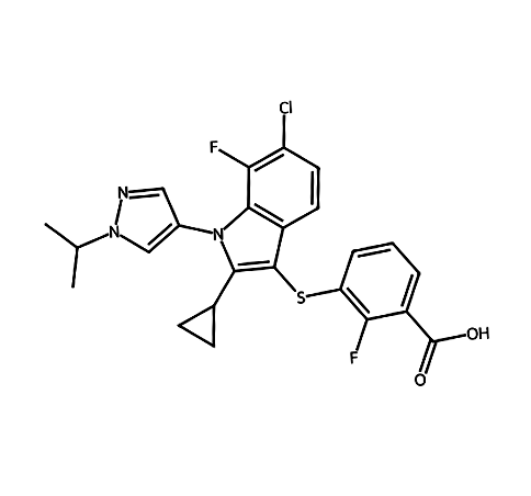 CC(C)n1cc(-n2c(C3CC3)c(Sc3cccc(C(=O)O)c3F)c3ccc(Cl)c(F)c32)cn1